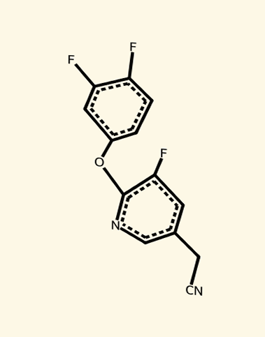 N#CCc1cnc(Oc2ccc(F)c(F)c2)c(F)c1